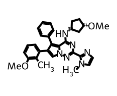 COc1cccc(-c2cn3nc(-c4nccn4C)nc(N[C@@H]4CC[C@H](OC)C4)c3c2-c2ccccc2)c1C